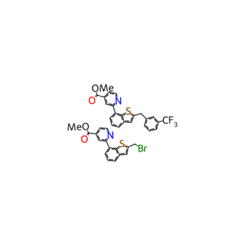 COC(=O)c1ccnc(-c2cccc3cc(CBr)sc23)c1.COC(=O)c1ccnc(-c2cccc3cc(Cc4cccc(C(F)(F)F)c4)sc23)c1